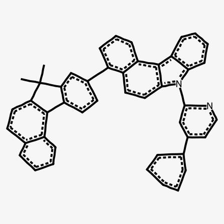 CC1(C)c2cc(-c3cccc4c3ccc3c4c4ccccc4n3-c3cc(-c4ccccc4)ccn3)ccc2-c2c1ccc1ccccc21